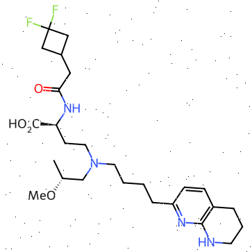 CO[C@H](C)CN(CCCCc1ccc2c(n1)NCCC2)CC[C@H](NC(=O)CC1CC(F)(F)C1)C(=O)O